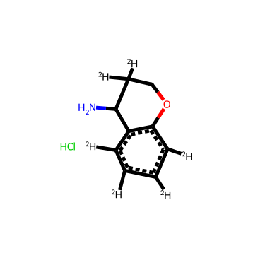 Cl.[2H]c1c([2H])c([2H])c2c(c1[2H])OCC([2H])([2H])C2N